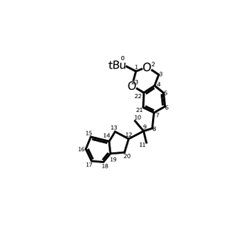 CC(C)(C)C1OCc2ccc(CC(C)(C)C3Cc4ccccc4C3)cc2O1